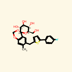 Cc1cc2c(cc1Cc1ccc(-c3ccc(F)cc3)s1)[C@]1(OCO2)O[C@H](CO)[C@@H](O)[C@H](O)[C@H]1O